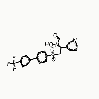 O=CN(O)C(CS(=O)(=O)c1ccc(-c2ccc(C(F)(F)F)cc2)cc1)c1cccnc1